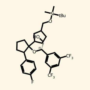 CC(C)(C)[Si](C)(C)OCC1CCC(C2(O[C@H](CO)c3cc(C(F)(F)F)cc(C(F)(F)F)c3)CCCC2c2ccc(F)cc2)C1